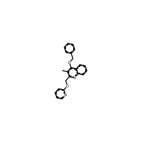 Cc1c(COc2ccccn2)nc2ccccc2c1OCc1ccccc1